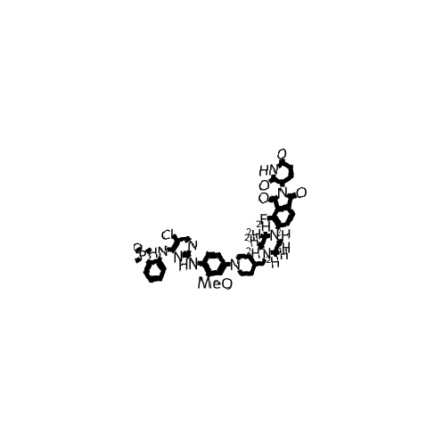 [2H]C1([2H])N(CC2CCN(c3ccc(Nc4ncc(Cl)c(Nc5ccccc5P(C)(C)=O)n4)c(OC)c3)CC2)C([2H])([2H])C([2H])([2H])N(c2ccc3c(c2F)C(=O)N(C2CCC(=O)NC2=O)C3=O)C1([2H])[2H]